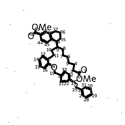 COC(=O)CCCCCCC(CCc1ccccc1OCc1ccc(SCc2ccccc2)cc1)C1CCCc2cc(C(=O)OC)ccc21